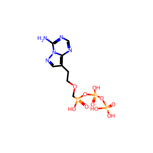 Nc1ncnc2c(CCOCP(=O)(O)OP(=O)(O)OP(=O)(O)O)cnn12